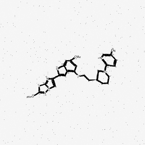 COc1cc(OCC[C@@H]2CCCN(c3ccc(C#N)cn3)C2)c2cc(-c3cn4nc(OC)sc4n3)oc2c1